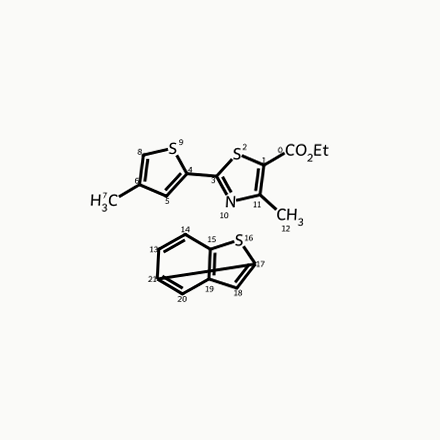 CCOC(=O)c1sc(-c2cc(C)cs2)nc1C.c1cc2sc3cc2cc1-3